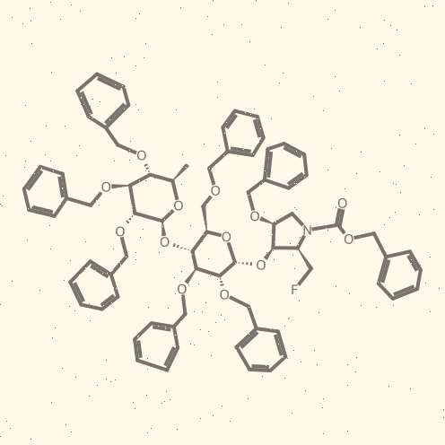 C[C@H]1O[C@@H](O[C@H]2[C@H](OCc3ccccc3)[C@@H](OCc3ccccc3)[C@@H](O[C@H]3[C@@H](OCc4ccccc4)CN(C(=O)OCc4ccccc4)[C@H]3CF)O[C@@H]2COCc2ccccc2)[C@H](OCc2ccccc2)[C@@H](OCc2ccccc2)[C@@H]1OCc1ccccc1